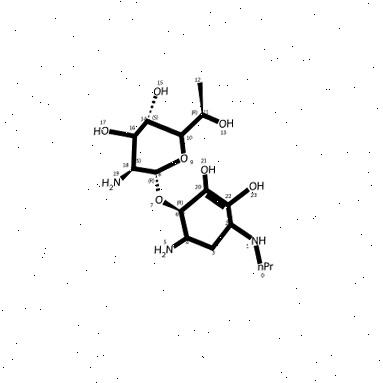 CCCNC1CC(N)[C@@H](O[C@H]2OC([C@@H](C)O)[C@@H](O)C(O)[C@@H]2N)C(O)=C1O